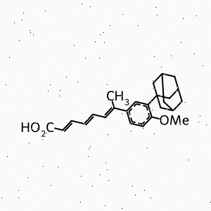 COc1ccc(/C(C)=C/C=C/C=C/C(=O)O)cc1C12CC3CC(CC(C3)C1)C2